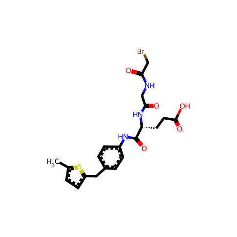 Cc1ccc(Cc2ccc(NC(=O)[C@@H](CCC(=O)O)NC(=O)CNC(=O)CBr)cc2)s1